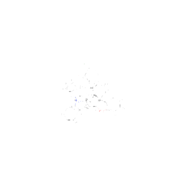 Clc1cccc2c1Oc1cccc(N(c3ccccc3)c3ccc4c(c3)oc3ccccc34)c1C21c2ccccc2-c2ccccc21